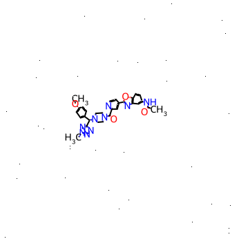 COc1ccc(C(c2nnn(C)n2)N2CCN(C(=O)c3cc(-c4nc5cc(NC(C)=O)ccc5o4)ccn3)CC2)cc1